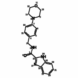 O=C(NCc1ccc(N2CCOCC2)cc1)c1nc2ccccc2[nH]1